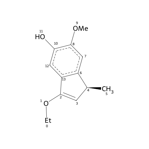 CCOC1=C[C@H](C)c2cc(OC)c(O)cc21